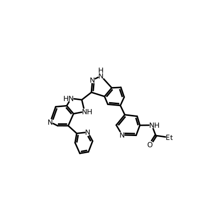 CCC(=O)Nc1cncc(-c2ccc3[nH]nc(C4Nc5cncc(-c6ccccn6)c5N4)c3c2)c1